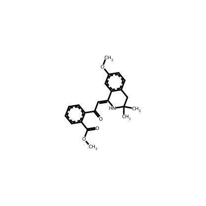 COC(=O)c1ccccc1C(=O)C=C1NC(C)(C)Cc2ccc(OC)cc21